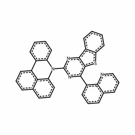 c1ccc2c(c1)-c1cccc3cccc(c13)N2c1nc(-c2cccc3cccnc23)c2sc3ccccc3c2n1